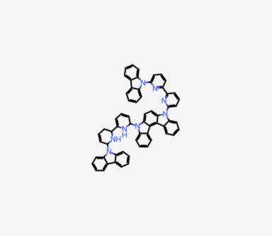 C1=CC(n2c3ccccc3c3c4c5ccccc5n(-c5cccc(-c6cccc(-n7c8ccccc8c8ccccc87)n6)n5)c4ccc32)NC(C2CC=CC(n3c4ccccc4c4ccccc43)N2)=C1